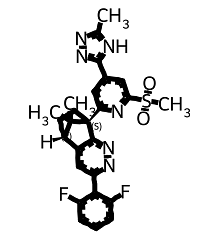 Cc1nnc(-c2cc([C@@]34CC[C@@H](c5cc(-c6c(F)cccc6F)nnc53)C4(C)C)nc(S(C)(=O)=O)c2)[nH]1